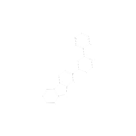 C1=CC2=C(CC1)OC1=CC(C3NCNC(c4ccccc4)N3)=CCC12